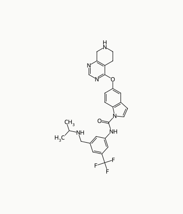 CC(C)NCc1cc(NC(=O)n2ccc3cc(Oc4ncnc5c4CCNC5)ccc32)cc(C(F)(F)F)c1